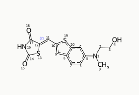 CN(CCO)c1ccc2cc(/C=C3\SC(=O)NC3=O)sc2c1